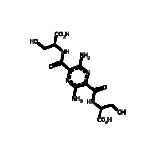 Nc1nc(C(=O)N[C@@H](CO)C(=O)O)c(N)nc1C(=O)N[C@@H](CO)C(=O)O